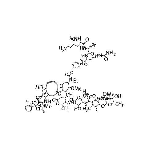 CCN(C(=O)OCc1ccc(NC(=O)[C@H](CCCNC(N)=O)NC(=O)[C@@H](NC(=O)[C@H](CCCCN)NC(C)=O)C(C)C)cc1)[C@H]1CO[C@@H](O[C@H]2[C@H](O[C@H]3C#C/C=C\C#C[C@]4(O)CC(=O)C(NC(=O)OC)=C3/C4=C\CSSC(C)(C)c3ccccc3)O[C@H](C)[C@@H](NO[C@H]3C[C@H](O)[C@H](SC(=O)c4c(C)c(I)c(O[C@@H]5O[C@@H](C)[C@H](O)[C@@H](OC)[C@H]5O)c(OC)c4OC)[C@@H](C)O3)[C@@H]2O)C[C@@H]1OC